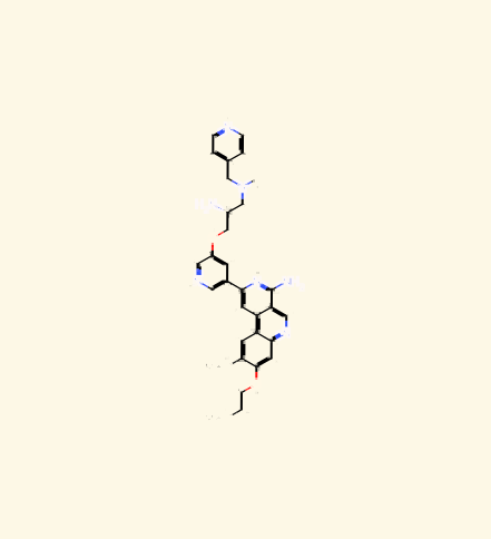 CCN(Cc1ccncc1)C[C@H](N)COc1cncc(-c2cc3c(cnc4cc(OCCOC)c(OC)cc43)c(N)n2)c1